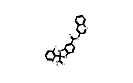 NC(=O)C1(c2c(Cl)cccc2Cl)Nc2ccc(C(=O)Oc3cnc4ccccc4c3)cc2N1